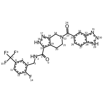 O=C(NCc1cc(C(F)(F)F)ccc1F)c1[nH]nc2c1CCN(C(=O)c1ccc3[nH]nnc3c1)C2